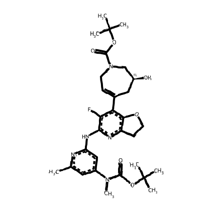 Cc1cc(N(C)C(=O)OC(C)(C)C)cc(Nc2nc3c(c(C4=CCN(C(=O)OC(C)(C)C)C[C@@H](O)C4)c2F)OCC3)n1